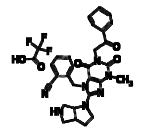 Cn1c(=O)n(CC(=O)c2ccccc2)c(=O)c2c1nc(N1CCC3CNCC31)n2Cc1ccccc1C#N.O=C(O)C(F)(F)F